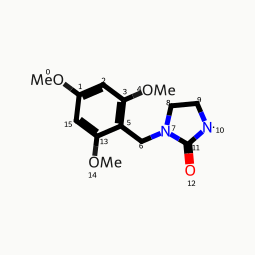 COc1cc(OC)c(CN2CC[N]C2=O)c(OC)c1